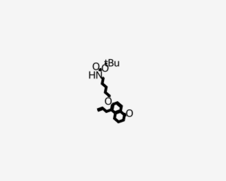 C=CCc1c(OCCCCCNC(=O)OC(C)(C)C)ccc2c1CCCC2=O